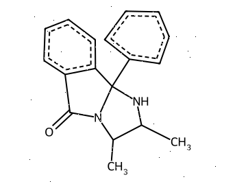 CC1NC2(c3ccccc3)c3ccccc3C(=O)N2C1C